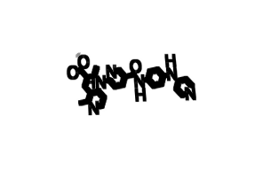 C=C/C(=C\c1c(Nc2ccc(C(=O)Nc3ccc(Nc4ccncc4)cc3)cn2)ccnc1C)C(=O)OC